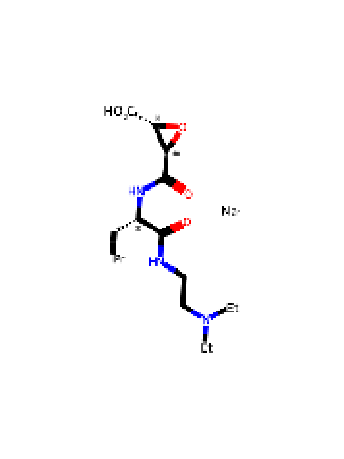 CCN(CC)CCNC(=O)[C@H](CC(C)C)NC(=O)[C@@H]1O[C@H]1C(=O)O.[Na]